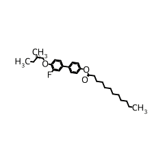 CCCCCCCCCCCC(=O)Oc1ccc(-c2ccc(OC[C@@H](C)CC)c(F)c2)cc1